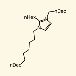 CCCCCCCCCCCCCCCCn1cc[n+](CCCCCCCCCCC)c1CCCCCC